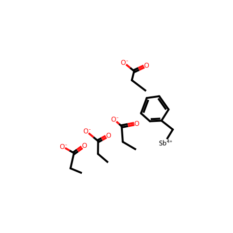 CCC(=O)[O-].CCC(=O)[O-].CCC(=O)[O-].CCC(=O)[O-].[Sb+4][CH2]c1ccccc1